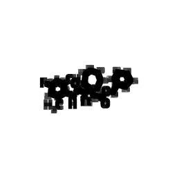 CCC(C(=O)Nc1c(C)cc(F)cc1C)[N+]1(CC(=O)OCc2ccccc2)CCCCCC1